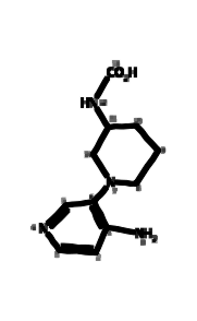 Nc1ccncc1N1CCCC(NC(=O)O)C1